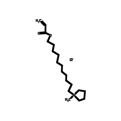 C=CC(=O)OCCCCCCCCCCC[N+]1(C)CCCC1.[Cl-]